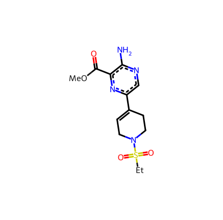 CCS(=O)(=O)N1CC=C(c2cnc(N)c(C(=O)OC)n2)CC1